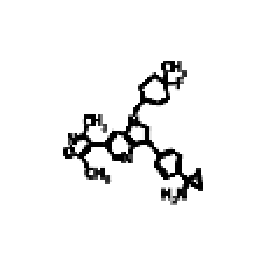 Cc1noc(C)c1-c1cnc2c(-c3ccc(C4(N)CC4)cc3)cn(CC3CCC(C)(F)CC3)c2c1